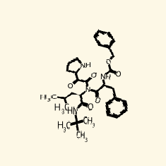 CC(C)C[C@H](C(=O)NC(C)(C)C)N(C(=O)C(=O)C1CCCN1)C(=O)C(Cc1ccccc1)NC(=O)OCc1ccccc1